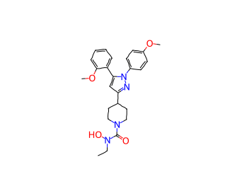 CCN(O)C(=O)N1CCC(c2cc(-c3ccccc3OC)n(-c3ccc(OC)cc3)n2)CC1